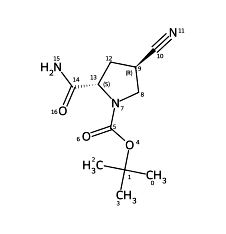 CC(C)(C)OC(=O)N1C[C@H](C#N)C[C@H]1C(N)=O